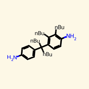 CCCCc1c(N)ccc(C(CCCC)(CCCC)c2ccc(N)cc2)c1CCCC